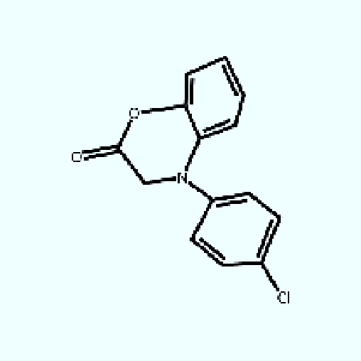 O=C1CN(c2ccc(Cl)cc2)c2ccccc2O1